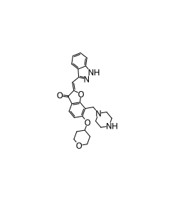 O=C1/C(=C/c2n[nH]c3ccccc23)Oc2c1ccc(OC1CCOCC1)c2CN1CCNCC1